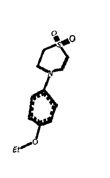 CCOc1ccc(N2CCS(=O)(=O)CC2)cc1